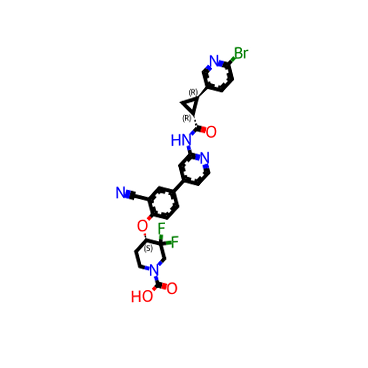 N#Cc1cc(-c2ccnc(NC(=O)[C@@H]3C[C@H]3c3ccc(Br)nc3)c2)ccc1O[C@H]1CCN(C(=O)O)CC1(F)F